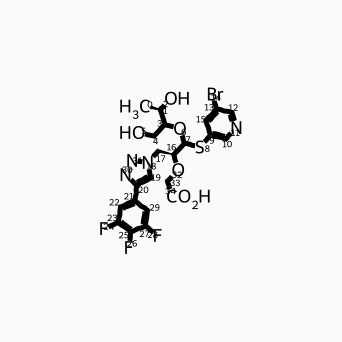 C[C@@H](O)C(CO)OC(Sc1cncc(Br)c1)[C@H](Cn1cc(-c2cc(F)c(F)c(F)c2)nn1)OCC(=O)O